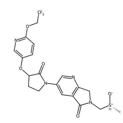 C[S@@+]([O-])CN1Cc2ncc(N3CCC(Oc4ccc(OCC(F)(F)F)nc4)C3=O)cc2C1=O